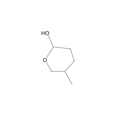 CC1[CH]OC(O)CC1